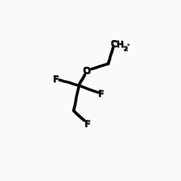 [CH2]COC(F)(F)CF